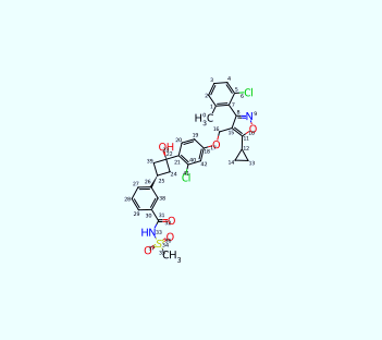 Cc1cccc(Cl)c1-c1noc(C2CC2)c1COc1ccc([C@]2(O)C[C@@H](c3cccc(C(=O)NS(C)(=O)=O)c3)C2)c(Cl)c1